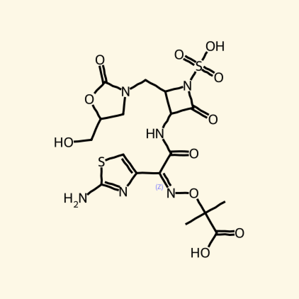 CC(C)(O/N=C(\C(=O)NC1C(=O)N(S(=O)(=O)O)C1CN1CC(CO)OC1=O)c1csc(N)n1)C(=O)O